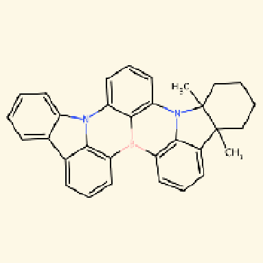 CC12CCCCC1(C)N1c3cccc4c3B(c3cccc2c31)c1cccc2c3ccccc3n-4c12